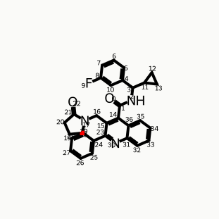 O=C(NC(c1cccc(F)c1)C1CC1)c1c(CN2CCCC2=O)c(-c2ccccc2)nc2ccccc12